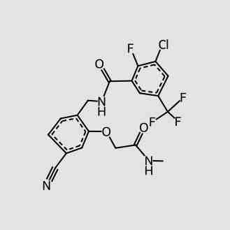 CNC(=O)COc1cc(C#N)ccc1CNC(=O)c1cc(C(F)(F)F)cc(Cl)c1F